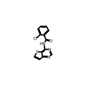 O=C(Nc1ncnc2ccsc12)c1ccccc1Cl